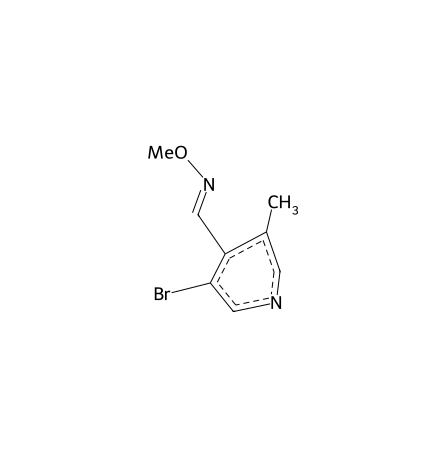 CON=Cc1c(C)cncc1Br